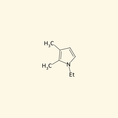 CCn1ccc(C)c1C